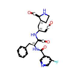 O=C=C[C@H](C[C@@H]1CCNC1=C=O)NC(=C=O)[C@H](Cc1ccccc1)NC(=O)c1cncc(F)c1